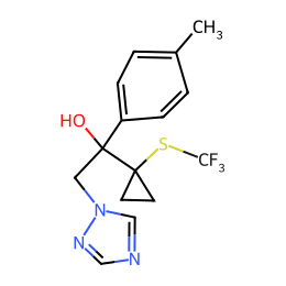 Cc1ccc(C(O)(Cn2cncn2)C2(SC(F)(F)F)CC2)cc1